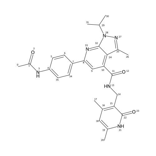 CC(=O)Nc1ccc(-c2cc(C(=O)NCc3c(C)cc(C)[nH]c3=O)c3c(C)nn(C(C)C)c3n2)cc1